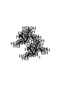 CN(C(=O)CC(=O)N(C)c1c(I)c(C(=O)NC(CO)C(O)CO)c(I)c(C(=O)NC(CO)C(O)CO)c1I)c1c(I)c(C(=O)NC(CO)C(O)CO)c(I)c(C(=O)NC(CO)C(O)CO)c1I.CN(C(=O)CC(=O)N(C)c1c(I)c(C(=O)NC(CO)C(O)CO)c(I)c(C(=O)NC(CO)C(O)CO)c1I)c1c(I)c(C(=O)NC(CO)C(O)CO)c(I)c(C(=O)NC(CO)C(O)CO)c1I